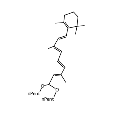 CCCCCOC(C=C(C)C=CC=C(C)C=CC1=C(C)CCCC1(C)C)OCCCCC